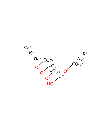 O=C(O)O.O=C([O-])O.O=C([O-])O.O=C([O-])[O-].O=C([O-])[O-].[Ca+2].[K+].[K+].[Na+].[Na+]